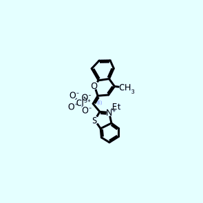 CC[n+]1c(/C=C2\C=C(C)c3ccccc3O2)sc2ccccc21.[O-][Cl+3]([O-])([O-])[O-]